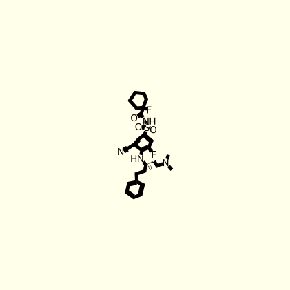 CN(C)CC[C@H](CCc1ccccc1)Nc1c(F)cc(S(=O)(=O)NC(=O)C2(F)CCCCC2)cc1C#N